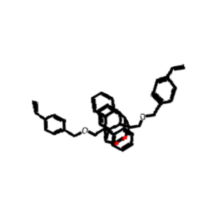 C=Cc1ccc(COCC23c4ccccc4C(C4C=CC=CC42)C2(COCc4ccc(C=C)cc4)c4ccccc4C3C3C=CC=CC32)cc1